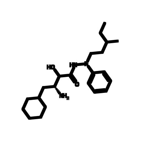 CCC(C)CCN(NC(=O)C(O)[C@H](N)CC1CCCCC1)c1ccccc1